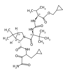 CC(C)[C@H](NC(=O)N[C@H](C(=O)N1C[C@H]2[C@@H]([C@H]1C(=O)NC(CC1CC1)C(=O)C(N)=O)C2(C)C)C(C)(C)C)C(=O)OCC1CC1